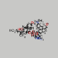 C[C@H](CCC(=O)O)C1CC[C@H]2[C@@H]3[C@H](OC(=O)OCCN)C[C@@H]4C[C@@H](OCCN(C)c5ccc([C@H]6C[C@@]7(C)C(C[C@@H](C)[C@]7(C)O)C7CCC8=CC(=O)CCC8=C76)cc5)CC[C@]4(C)[C@H]3C[C@H](O)[C@]12C